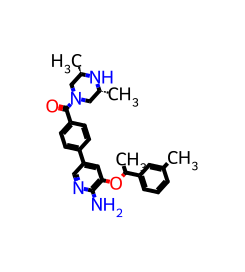 Cc1cccc(C(C)Oc2cc(-c3ccc(C(=O)N4C[C@@H](C)N[C@@H](C)C4)cc3)cnc2N)c1